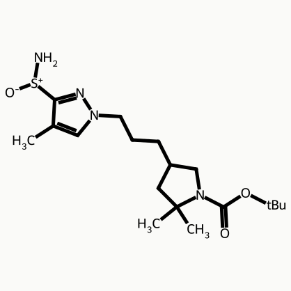 Cc1cn(CCCC2CN(C(=O)OC(C)(C)C)C(C)(C)C2)nc1[S+](N)[O-]